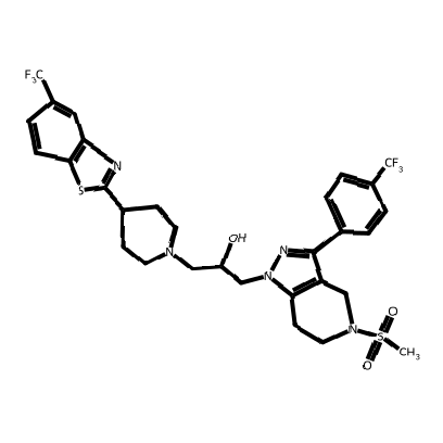 CS(=O)(=O)N1CCc2c(c(-c3ccc(C(F)(F)F)cc3)nn2CC(O)CN2CCC(c3nc4cc(C(F)(F)F)ccc4s3)CC2)C1